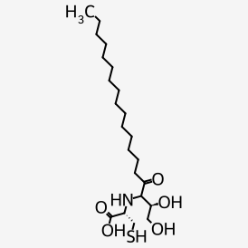 CCCCCCCCCCCCCCCC(=O)C(N[C@H](CS)C(=O)O)[C@@H](O)CO